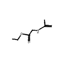 C=C(C)NCC(=O)OCC